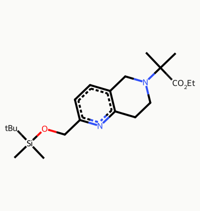 CCOC(=O)C(C)(C)N1CCc2nc(CO[Si](C)(C)C(C)(C)C)ccc2C1